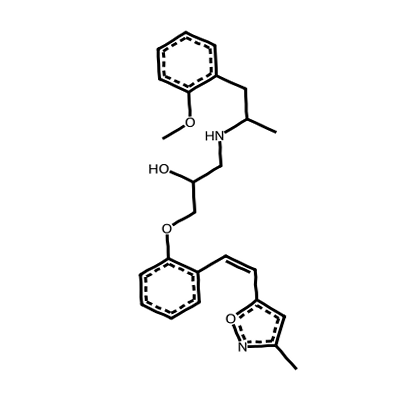 COc1ccccc1CC(C)NCC(O)COc1ccccc1/C=C\c1cc(C)no1